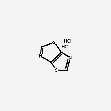 Cl.Cl.c1nc2scnc2s1